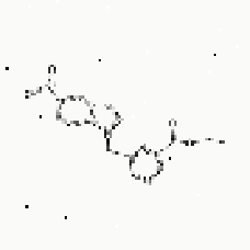 CCOC(=O)c1cccc(Cn2ccc3cc([N+](=O)[O-])ccc32)n1